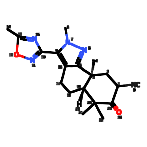 [C-]#[N+]C1C[C@]2(C)c3nn(C)c(-c4noc(C)n4)c3CC[C@H]2C(C)(C)C1=O